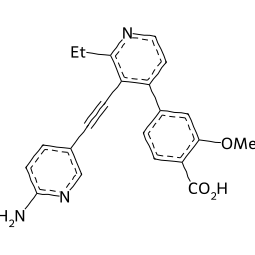 CCc1nccc(-c2ccc(C(=O)O)c(OC)c2)c1C#Cc1ccc(N)nc1